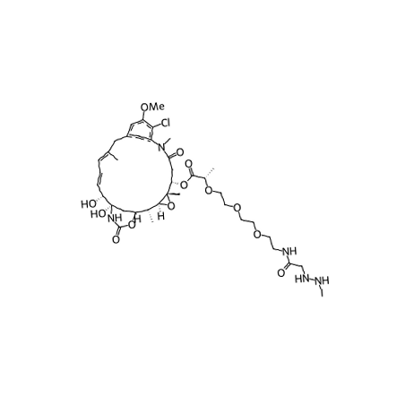 COc1cc2cc(c1Cl)N(C)C(=O)C[C@H](OC(=O)[C@H](C)OCCOCCOCCNC(=O)CNNI)[C@]1(C)O[C@H]1[C@H](C)[C@@H]1C[C@@](O)(NC(=O)O1)[C@H](O)/C=C/C=C(\C)C2